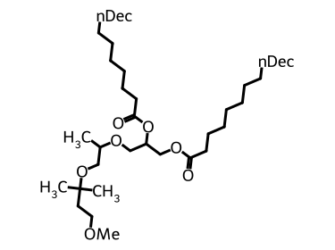 CCCCCCCCCCCCCCCCCC(=O)OCC(COC(C)COC(C)(C)CCOC)OC(=O)CCCCCCCCCCCCCCCC